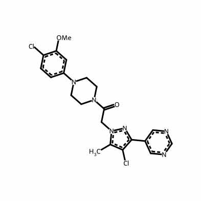 COc1cc(N2CCN(C(=O)Cn3nc(-c4cncnc4)c(Cl)c3C)CC2)ccc1Cl